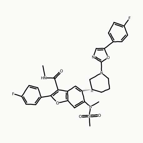 CNC(=O)c1c(-c2ccc(F)cc2)oc2cc(N(C)S(C)(=O)=O)c([C@H]3CCCN(c4ncc(-c5ccc(F)cc5)o4)C3)cc12